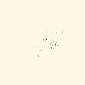 Cc1cn([C@H]2C[C@H](O)[C@@H](COP(=O)(O)OP(=O)(O)O[C@@H]3C[C@@H](O)[C@H](O)[C@@H](CO)O3)O2)c(=O)[nH]c1=O